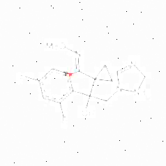 CON=C(C(C)C)C1(C(O)(CN2C=NCN2)c2ccc(F)cc2F)CC1